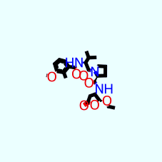 CCO[C@@H]1OC(=O)C[C@@H]1NC(=O)[C@@H]1CCCN1C(=O)[C@@H](NC(=O)c1cccc(OC)c1C)C(C)C